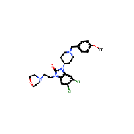 O=c1n(CCN2CCOCC2)c2cc(Cl)c(Cl)cc2n1C1CCN(Cc2ccc(OC(F)(F)F)cc2)CC1